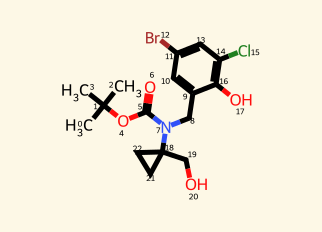 CC(C)(C)OC(=O)N(Cc1cc(Br)cc(Cl)c1O)C1(CO)CC1